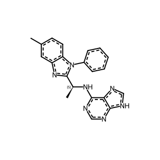 Cc1ccc2c(c1)nc([C@H](C)Nc1ncnc3[nH]cnc13)n2-c1ccccc1